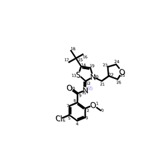 COc1ccc(Cl)cc1C(=O)/N=c1\sc(C(C)(C)C)cn1CC1CCOC1